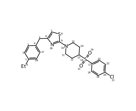 CCc1ccc(Cc2csc(N3CCC(S(=O)(=O)c4ccc(Cl)cc4)CC3)n2)cc1